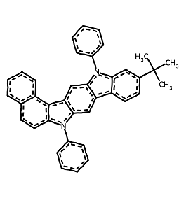 CC(C)(C)c1ccc2c3cc4c(cc3n(-c3ccccc3)c2c1)c1c2ccccc2ccc1n4-c1ccccc1